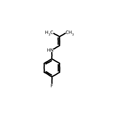 CC(C)=CNc1ccc(F)cc1